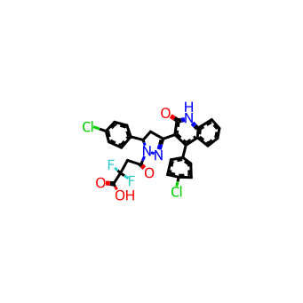 O=C(CC(F)(F)C(=O)O)N1N=C(c2c(-c3ccc(Cl)cc3)c3ccccc3[nH]c2=O)CC1c1ccc(Cl)cc1